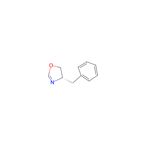 C1=N[C@@H](Cc2ccccc2)CO1